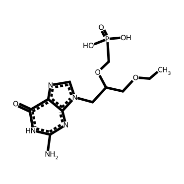 CCOCC(Cn1cnc2c(=O)[nH]c(N)nc21)OCP(=O)(O)O